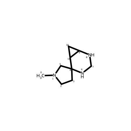 CN1CCC2(C1)NCNC1CC12